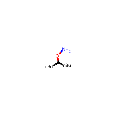 CCCCC(CCCC)ON